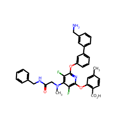 Cc1ccc(C(=O)O)c(Oc2nc(Oc3cccc(-c4cccc(CN)c4)c3)c(F)c(N(C)CC(=O)NCc3ccccc3)c2F)c1